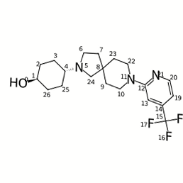 O[C@H]1CC[C@H](N2CCC3(CCN(c4cc(C(F)(F)F)ccn4)CC3)C2)CC1